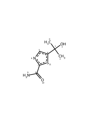 CC(C)(O)c1cnc(C(N)=O)s1